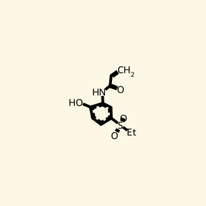 C=CC(=O)Nc1cc(S(=O)(=O)CC)ccc1O